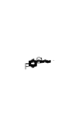 [CH2]C=CCOc1ccc(F)cc1